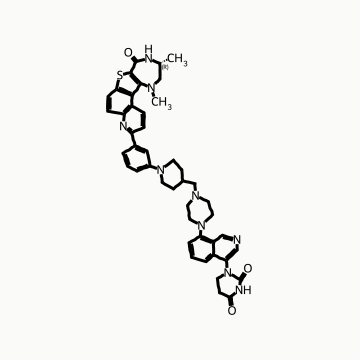 C[C@@H]1CN(C)c2c(sc3ccc4nc(-c5cccc(N6CCC(CN7CCN(c8cccc9c(N%10CCC(=O)NC%10=O)cncc89)CC7)CC6)c5)ccc4c23)C(=O)N1